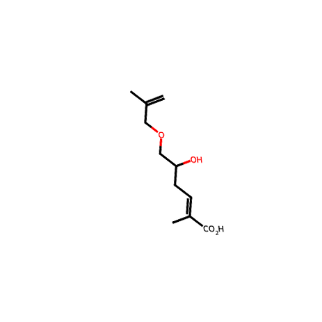 C=C(C)COCC(O)C/C=C(\C)C(=O)O